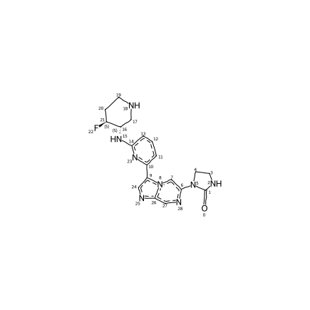 O=C1NCCN1c1cn2c(-c3cccc(N[C@H]4CNCC[C@@H]4F)n3)cnc2cn1